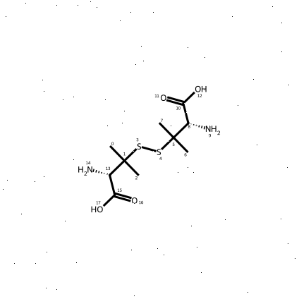 CC(C)(SSC(C)(C)[C@@H](N)C(=O)O)[C@@H](N)C(=O)O